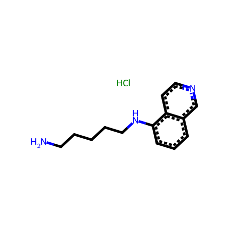 Cl.NCCCCCNc1cccc2cnccc12